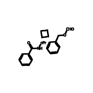 C1CCC1.CCCNC(=O)c1ccccc1.O=COCc1ccccc1